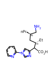 CCC[C@@H](CN)C[C@H](CC)C(C(=O)O)c1cn(-c2ccccn2)cn1